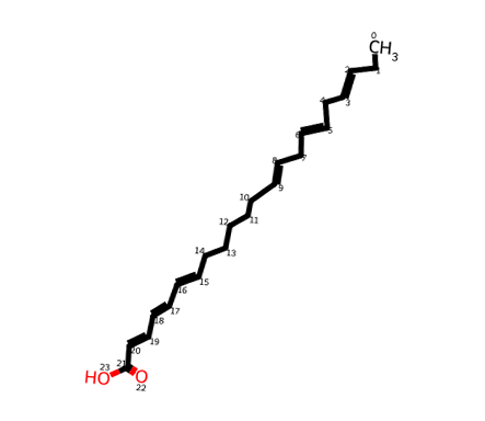 CCC=CCC=CCC=CCCCCCC=CC=CC=CC(=O)O